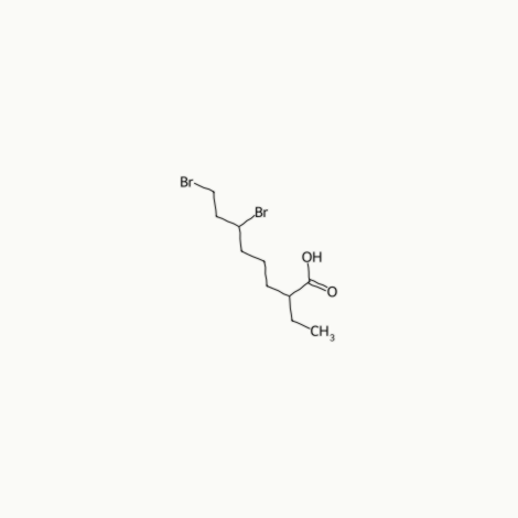 CCC(CCCC(Br)CCBr)C(=O)O